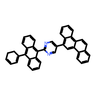 C1=CCCC(c2c3ccccc3c(-c3ncc(-c4cc5c6ccccc6ccc5c5ccccc45)cn3)c3ccccc23)=C1